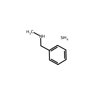 CNCc1ccccc1.[SiH4]